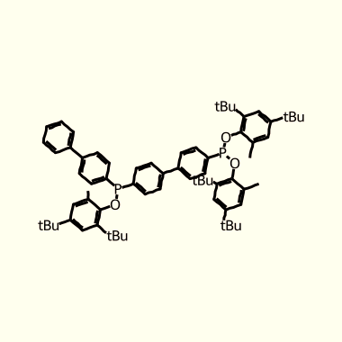 Cc1cc(C(C)(C)C)cc(C(C)(C)C)c1OP(Oc1c(C)cc(C(C)(C)C)cc1C(C)(C)C)c1ccc(-c2ccc(P(Oc3c(C)cc(C(C)(C)C)cc3C(C)(C)C)c3ccc(-c4ccccc4)cc3)cc2)cc1